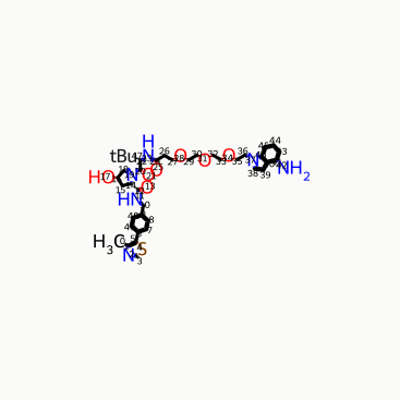 Cc1ncsc1-c1ccc(CNC(=O)[C@@H]2C[C@@H](O)CN2C(=O)[C@@H](NC(=O)CCOCCOCCOCCn2ccc3c(N)cccc32)C(C)(C)C)cc1